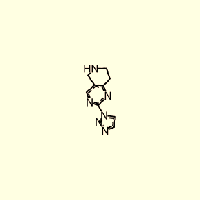 c1cn(-c2ncc3c(n2)CCNC3)nn1